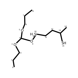 CCCOC(OCCC)O[SiH2]CCC(C)S